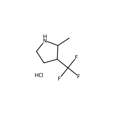 CC1NCCC1C(F)(F)F.Cl